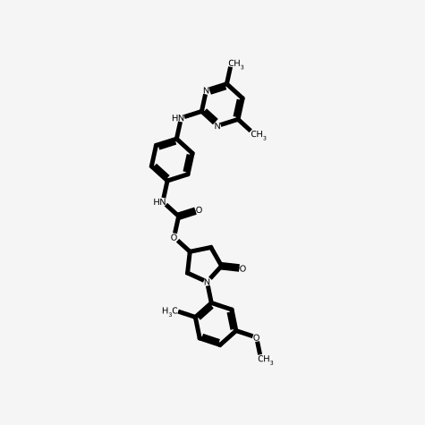 COc1ccc(C)c(N2CC(OC(=O)Nc3ccc(Nc4nc(C)cc(C)n4)cc3)CC2=O)c1